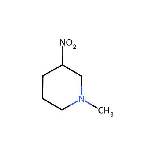 CN1[CH]CCC([N+](=O)[O-])C1